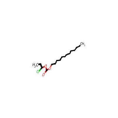 CCCCCCCCCCCCCOC(=O)OC(Cl)CC